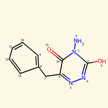 Nn1c(O)nnc(Cc2ccccc2)c1=O